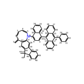 C=C1/C=C\C=C/N(c2ccc(-c3c4ccccc4c(-c4ccccc4)c4ccccc34)c3ccccc23)c2cc3c(cc21)C(C)(C)c1ccccc1-3